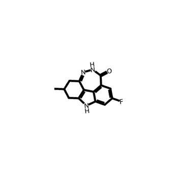 CC1CC2=NNC(=O)c3cc(F)cc4[nH]c(c2c34)C1